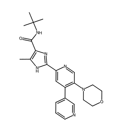 Cc1[nH]c(-c2cc(-c3cccnc3)c(N3CCOCC3)cn2)nc1C(=O)NC(C)(C)C